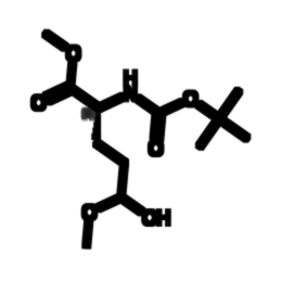 COC(=O)[C@@H](CCC(O)OC)NC(=O)OC(C)(C)C